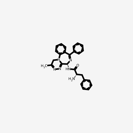 CC1=NN=C2[C@@H](NC(=O)[C@@H](N)Cc3ccccc3)N=C(c3ccccc3)c3ccccc3N2C1